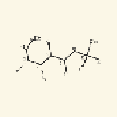 CCO[C@@H](C)[C@@H](C)[C@@H](C)C(C)CC(C)(F)F